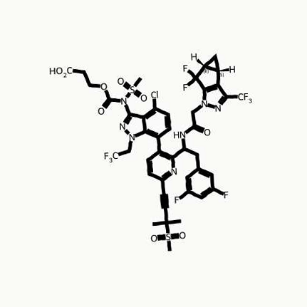 CC(C)(C#Cc1ccc(-c2ccc(Cl)c3c(N(C(=O)OCCC(=O)O)S(C)(=O)=O)nn(CC(F)(F)F)c23)c(C(Cc2cc(F)cc(F)c2)NC(=O)Cn2nc(C(F)(F)F)c3c2C(F)(F)[C@@H]2C[C@H]32)n1)S(C)(=O)=O